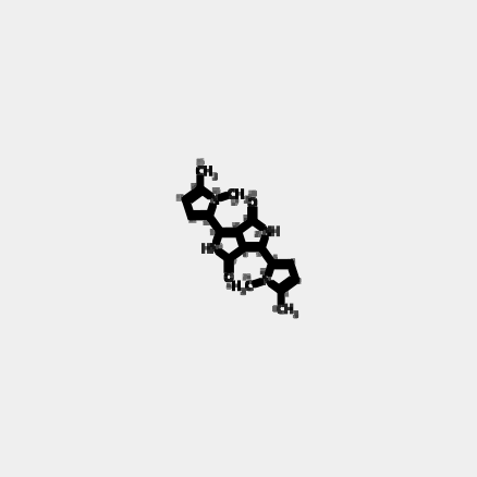 Cc1ccc(C2=C3C(=O)NC(c4ccc(C)n4C)=C3C(=O)N2)n1C